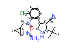 CC(C)(C)C1NCC(c2cccc(Cl)c2N(CC2CC2)ONN)C1C#N